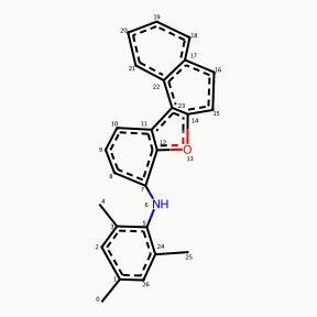 Cc1cc(C)c(Nc2cccc3c2oc2ccc4ccccc4c23)c(C)c1